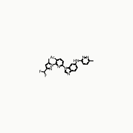 CC(=O)c1ccc(-n2cnc3ccc(Nc4ccc(C)nn4)cc32)nc1-n1nc(C(F)F)cc1C